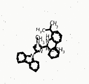 CC(C)c1cccc(C(C)C)c1NC(c1ccccc1)c1nc(-n2c3ccccc3c3ccccc32)cn1C